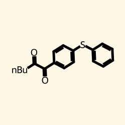 CCCCC(=O)C(=O)c1ccc(Sc2ccccc2)cc1